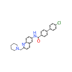 O=C(Nc1ccc2nc(CN3CCCCC3)ccc2c1)c1ccc(-c2ccc(Cl)cc2)cc1